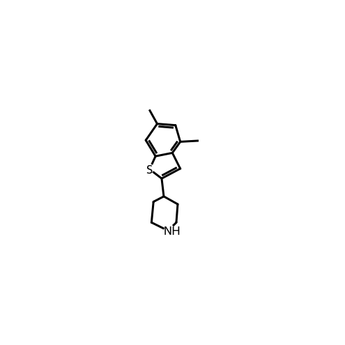 Cc1cc(C)c2cc(C3CCNCC3)sc2c1